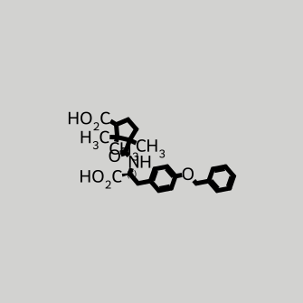 CC1(C(=O)N[C@@H](Cc2ccc(OCc3ccccc3)cc2)C(=O)O)CCC(C(=O)O)C1(C)C